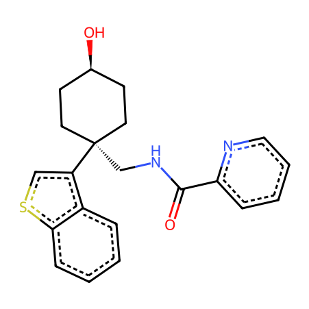 O=C(NC[C@]1(c2csc3ccccc32)CC[C@@H](O)CC1)c1ccccn1